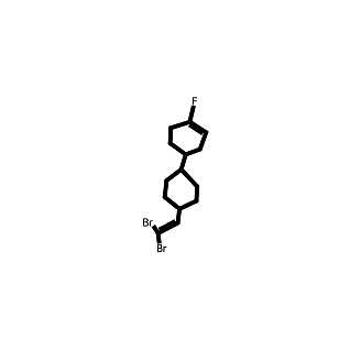 FC1=CCC(C2CCC(C=C(Br)Br)CC2)CC1